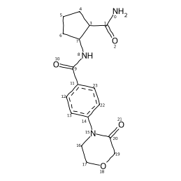 NC(=O)C1CCCC1NC(=O)c1ccc(N2CCOCC2=O)cc1